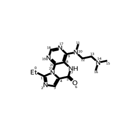 CCc1ncc2c(=O)[nH]c3c(N(C)CCN(C)C)ncnc3n12